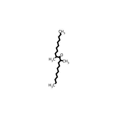 CCCCCCCCCC(C)C(=O)C(C)CCCCCCCCC